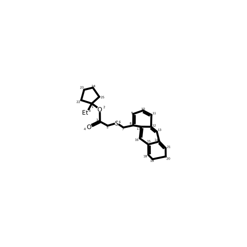 CCC1(OC(=O)CSCc2cccc3cc4c(cc23)=CCCC=4)CCCC1